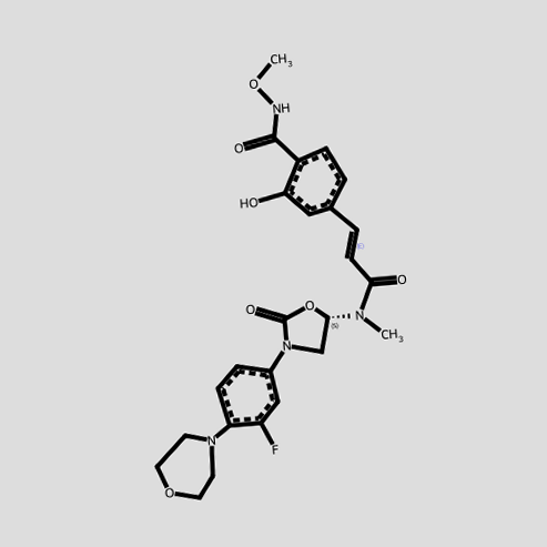 CONC(=O)c1ccc(/C=C/C(=O)N(C)[C@@H]2CN(c3ccc(N4CCOCC4)c(F)c3)C(=O)O2)cc1O